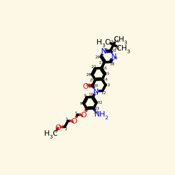 COCCOCOc1ccc(N2CCc3cc(-c4cnc(C(C)(C)C)nc4)ccc3C2=O)cc1N